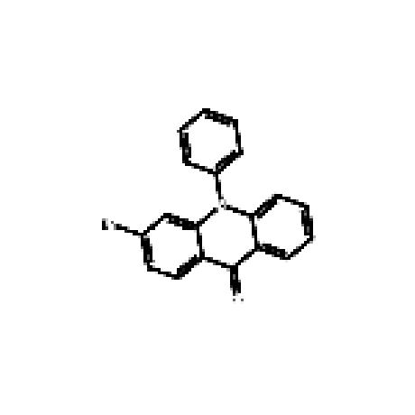 O=c1c2ccccc2n(-c2ccccc2)c2cc(Br)ccc12